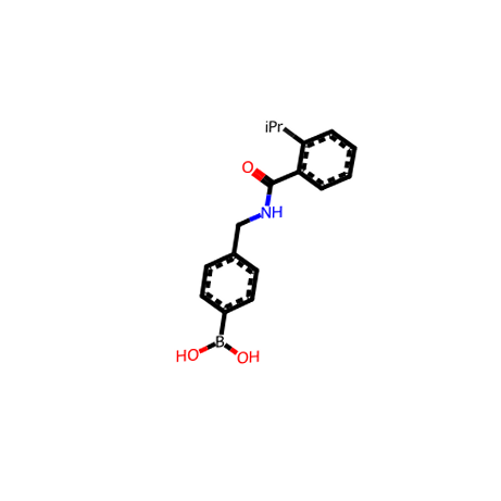 CC(C)c1ccccc1C(=O)NCc1ccc(B(O)O)cc1